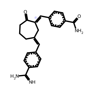 N=C(N)c1ccc(C=C2CCCC(=O)/C(=C/c3ccc(C(N)=O)cc3)C2)cc1